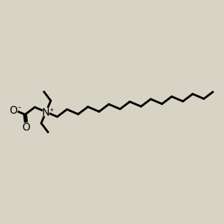 CCCCCCCCCCCCCCCC[N+](CC)(CC)CC(=O)[O-]